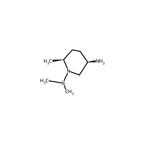 C[C@H]1CC[C@@H](N)CN1N(C)C